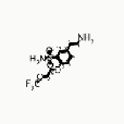 NCCc1ccc(OCCOC(F)(F)F)c(S(N)(=O)=O)c1